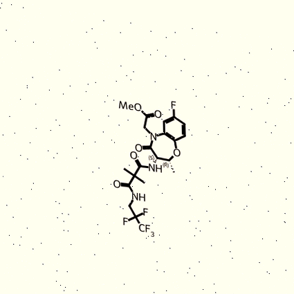 COC(=O)CN1C(=O)[C@@H](NC(=O)C(C)(C)C(=O)NCC(F)(F)C(F)(F)F)[C@@H](C)Oc2ccc(F)cc21